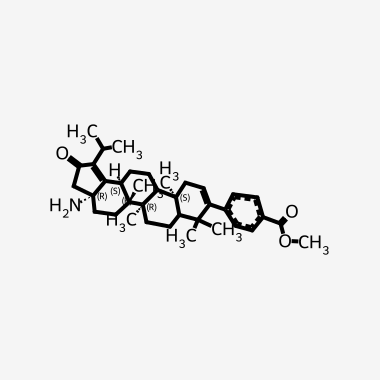 COC(=O)c1ccc(C2=CC[C@@]3(C)C(CC[C@]4(C)C3CC[C@@H]3C5=C(C(C)C)C(=O)C[C@]5(N)CC[C@]34C)C2(C)C)cc1